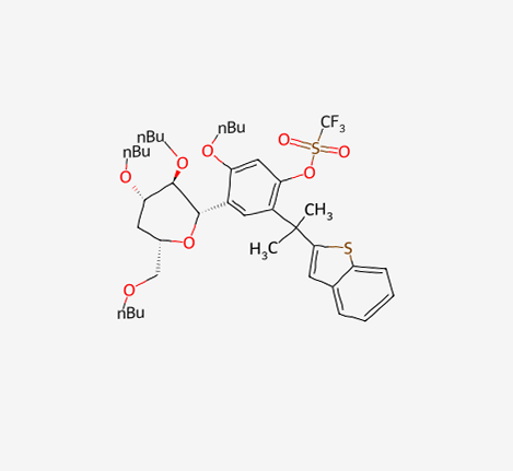 CCCCOC[C@@H]1C[C@H](OCCCC)[C@@H](OCCCC)[C@H](c2cc(C(C)(C)c3cc4ccccc4s3)c(OS(=O)(=O)C(F)(F)F)cc2OCCCC)O1